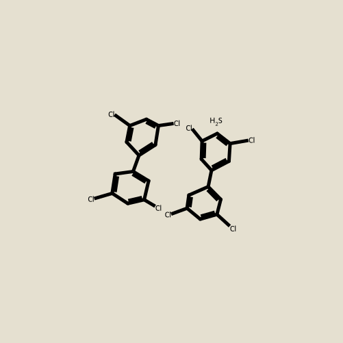 Clc1cc(Cl)cc(-c2cc(Cl)cc(Cl)c2)c1.Clc1cc(Cl)cc(-c2cc(Cl)cc(Cl)c2)c1.S